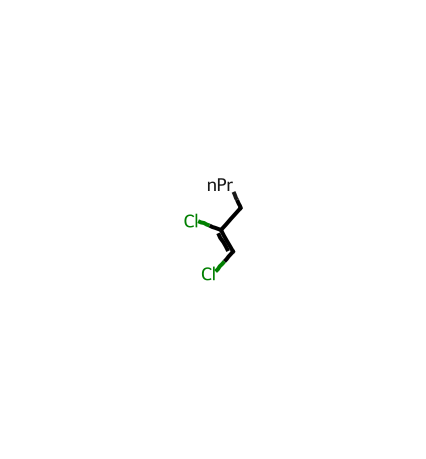 CCCCC(Cl)=CCl